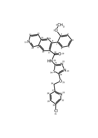 COc1ccccc1-c1nc2ccncc2cc1C(=O)Nc1nnc(OCc2ccc(Cl)cn2)s1